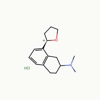 CN(C)C1CCc2cccc([C@H]3CCCO3)c2C1.Cl